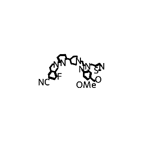 COC(=O)c1ccc2nc(CN3CCC(c4cccc(N5CCc6cc(C#N)cc(F)c6C5)n4)CC3)n(Cc3cncs3)c2c1